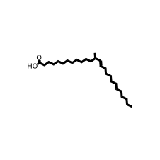 CCCCCCCCCCCC=CC(C)CCCCCCCCCCCC(=O)O